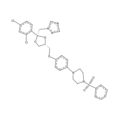 O=S(=O)(c1ccccc1)N1CCN(c2ccc(OC[C@@H]3CO[C@@](Cn4cncn4)(c4ccc(Cl)cc4Cl)O3)cc2)CC1